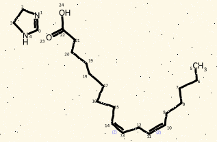 C1=NCCN1.CCCCC/C=C\C/C=C\CCCCCCCC(=O)O